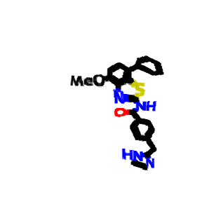 COc1ccc(-c2ccccc2)c2sc(NC(=O)c3ccc(Cc4ncc[nH]4)cc3)nc12